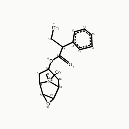 C[N+]1([O-])C2CC(OC(=O)C(CO)c3ccccc3)CC1C1OC12